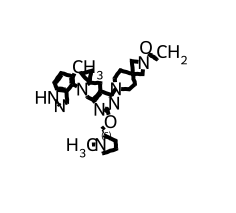 C=CC(=O)N1CC2(CCN(c3nc(OC[C@@H]4CCCN4C)nc4c3CC3(CC3)N(c3c(C)ccc5[nH]ncc35)C4)CC2)C1